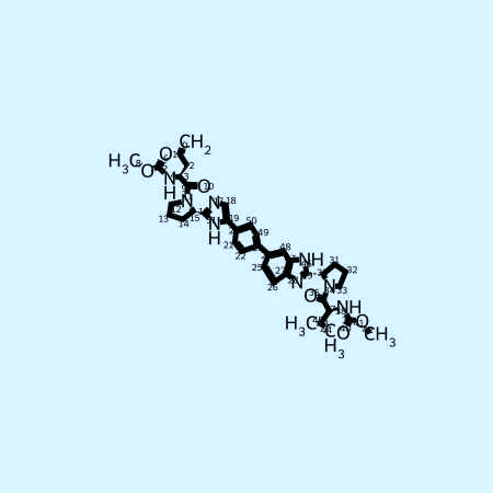 C=CC[C@H](NC(=O)OC)C(=O)N1CCC[C@H]1c1ncc(-c2ccc(-c3ccc4nc([C@@H]5CCCN5C(=O)[C@@H](NC(=O)OC)C(C)C)[nH]c4c3)cc2)[nH]1